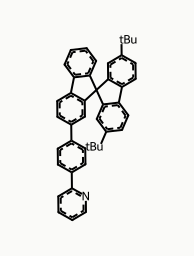 CC(C)(C)c1ccc2c(c1)C1(c3ccccc3-c3ccc(-c4ccc(-c5ccccn5)cc4)cc31)c1cc(C(C)(C)C)ccc1-2